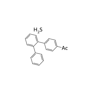 CC(=O)c1ccc(-c2ccccc2-c2ccccc2)cc1.S